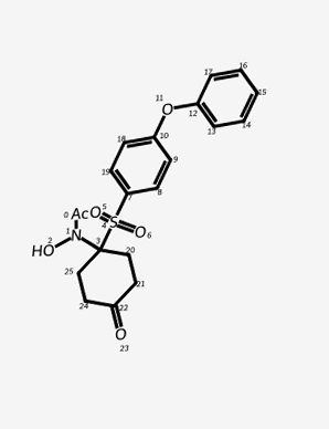 CC(=O)N(O)C1(S(=O)(=O)c2ccc(Oc3ccccc3)cc2)CCC(=O)CC1